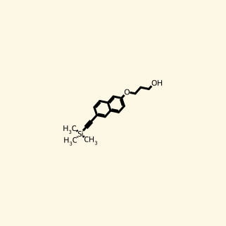 C[Si](C)(C)C#Cc1ccc2cc(OCCCO)ccc2c1